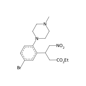 CCOC(=O)CC(C[N+](=O)[O-])c1cc(Br)ccc1N1CCN(C)CC1